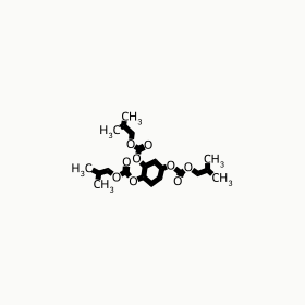 CC(C)COC(=O)OC1CCC(OC(=O)OCC(C)C)C(OC(=O)OCC(C)C)C1